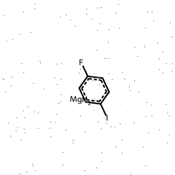 Fc1ccc(I)cc1.[MgH2]